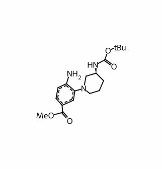 COC(=O)c1ccc(N)c(N2CCC[C@H](NC(=O)OC(C)(C)C)C2)c1